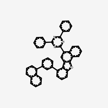 c1ccc(-c2nc(-c3ccccc3)nc(-c3cc4c(oc5cccc(-c6cccc(-c7cccc8ccccc78)c6)c54)c4ccccc34)n2)cc1